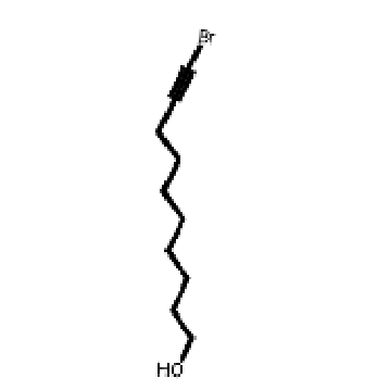 OCCCCCCCCC#CBr